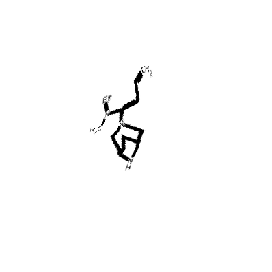 C=C/C=C(\N(C)CC)N1CC2CC(C1)N2